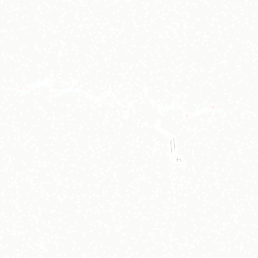 BBBBBBBBB(BBB)CC=C